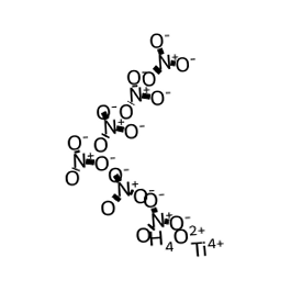 O=[N+]([O-])[O-].O=[N+]([O-])[O-].O=[N+]([O-])[O-].O=[N+]([O-])[O-].O=[N+]([O-])[O-].O=[N+]([O-])[O-].[OH4+2].[Ti+4]